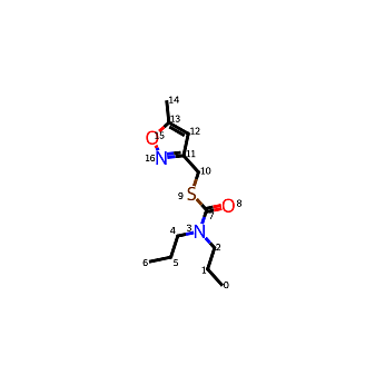 CCCN(CCC)C(=O)SCc1cc(C)on1